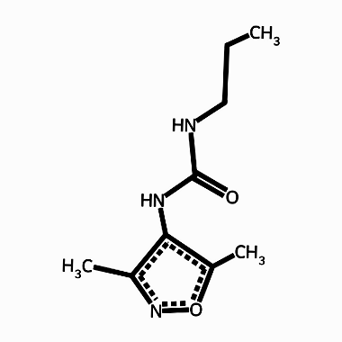 CCCNC(=O)Nc1c(C)noc1C